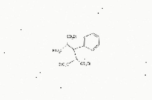 CCOC(=O)C(C(=O)OCC)C(c1ccccc1)C(C(=O)OCC)C(=O)OCC